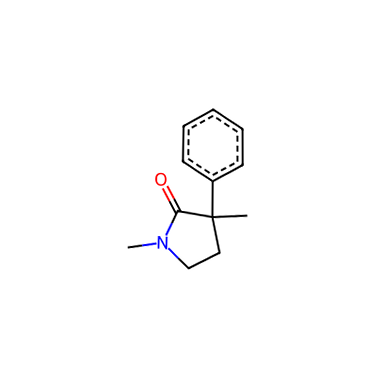 CN1CCC(C)(c2ccccc2)C1=O